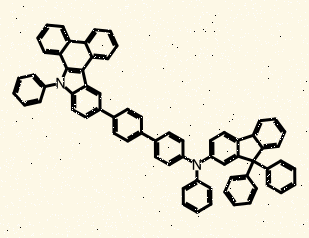 c1ccc(N(c2ccc(-c3ccc(-c4ccc5c(c4)c4c6ccccc6c6ccccc6c4n5-c4ccccc4)cc3)cc2)c2ccc3c(c2)C(c2ccccc2)(c2ccccc2)c2ccccc2-3)cc1